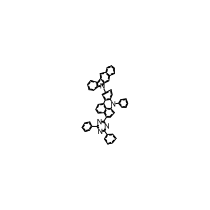 c1ccc(-c2nc(-c3ccccc3)nc(-c3ccc4c5c(cccc35)-c3cc(-n5c6ccccc6c6cc7ccccc7cc65)ccc3N4c3ccccc3)n2)cc1